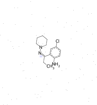 CC/C(=N/N1CCCCC1)c1cc(Cl)ccc1N